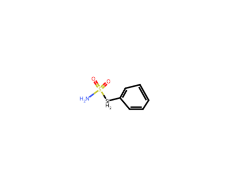 NS(=O)(=O)[SiH2]c1ccccc1